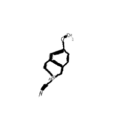 COc1ccc2c(c1)C[SH](C#N)C2